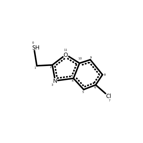 SCc1nc2cc(Cl)ccc2o1